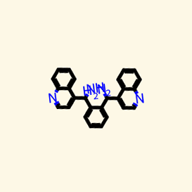 NC(c1ccccc1C(N)c1ccnc2ccccc12)c1ccnc2ccccc12